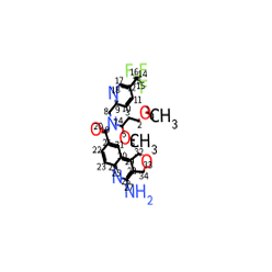 COCCC(OC)N(Cc1ccc(C(F)(F)F)cn1)C(=O)c1ccc2nc(N)c3c(c2c1)COC3